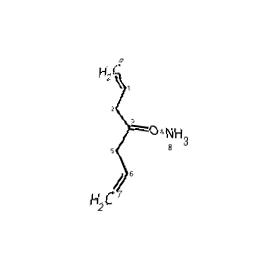 C=CCC(=O)CC=C.N